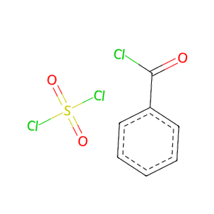 O=C(Cl)c1ccccc1.O=S(=O)(Cl)Cl